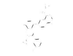 O=C(c1cccc(F)c1)N(Cc1cc(-c2ccc3ncnc(NC4CC4)c3c2)ccc1F)C1CC1